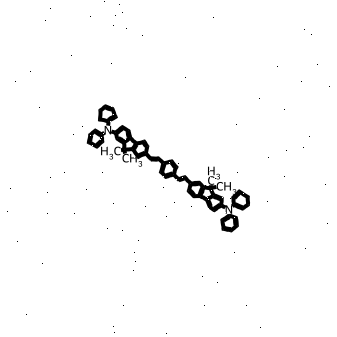 CC1(C)c2cc(/C=C/c3ccc(/C=C/c4ccc5c(c4)C(C)(C)c4cc(N(C6=CC=CCC6)c6ccccc6)ccc4-5)cc3)ccc2-c2ccc(N(C3=CCCC=C3)c3ccccc3)cc21